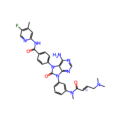 Cc1cc(NC(=O)c2ccc(-n3c(=O)n(-c4cccc(N(C)C(=O)/C=C/CN(C)C)c4)c4ncnc(N)c43)cc2)ncc1F